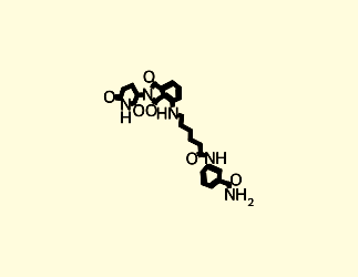 NC(=O)c1cccc(NC(=O)CCCCCNc2cccc3c2C(=O)N(C2CCC(=O)NC2=O)C3=O)c1